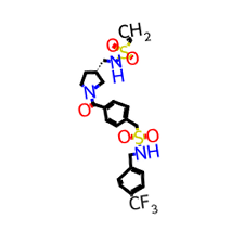 C=CS(=O)(=O)NC[C@H]1CCN(C(=O)c2ccc(CS(=O)(=O)NCc3ccc(C(F)(F)F)cc3)cc2)C1